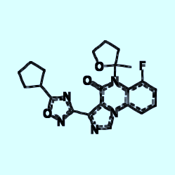 CC1(n2c(=O)c3c(-c4noc(C5CCCC5)n4)ncn3c3cccc(F)c32)CCCO1